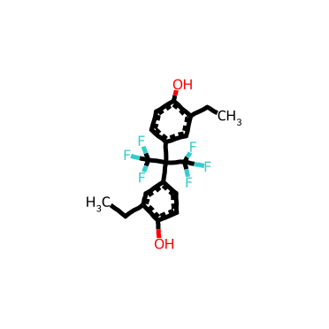 CCc1cc(C(c2ccc(O)c(CC)c2)(C(F)(F)F)C(F)(F)F)ccc1O